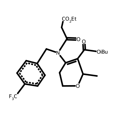 CCOC(=O)CC(=O)N(Cc1ccc(C(F)(F)F)cc1)C1=C(C(=O)OCC(C)C)C(C)OCC1